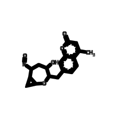 Cc1cc(=O)oc2cc(CC3OC4CC4C(N=O)CC3O)ccc12